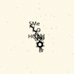 CSCCCC(=O)N(O)NS(=O)(=O)c1ccc(Br)cc1